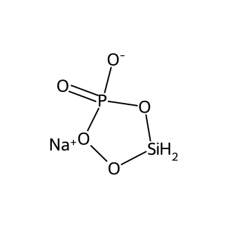 O=P1([O-])OO[SiH2]O1.[Na+]